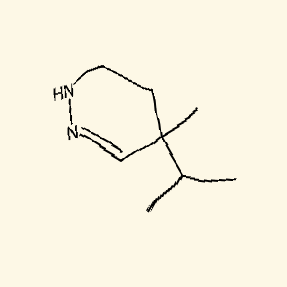 CC(C)C1(C)C=NNCC1